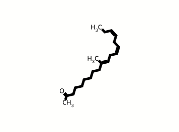 CC/C=C\C/C=C\C/C=C(\C)CCCCCCCC(C)=O